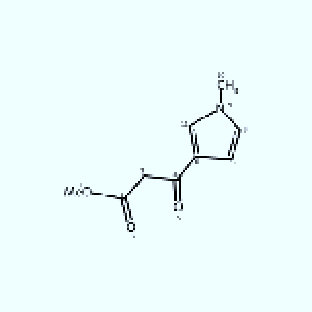 COC(=O)CC(=O)c1ccn(C)c1